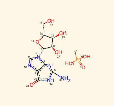 CP(=O)(O)O.Nc1nc2c(ncn2[C@@H]2O[C@H](CO)[C@@H](O)[C@H]2O)c(=O)[nH]1